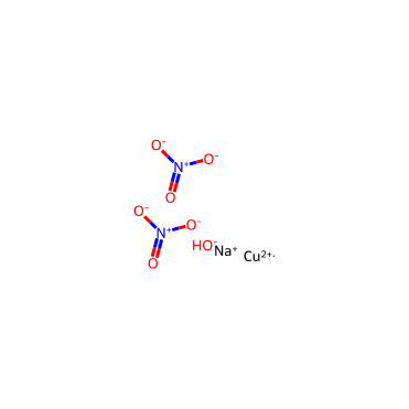 O=[N+]([O-])[O-].O=[N+]([O-])[O-].[Cu+2].[Na+].[OH-]